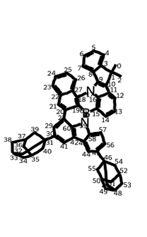 CC1(C)c2ccccc2-c2c1c1cccc3c1n2-c1c2c(cc4ccccc14)-c1cc(C45CC6CC(CC(C6)C4)C5)cc4c5cc(C67CC8CC(CC(C8)C6)C7)ccc5n(c14)B23